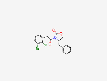 O=C(Cc1cccc(Br)c1F)N1C(=O)OC[C@@H]1Cc1ccccc1